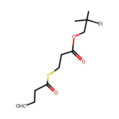 CCC(C)(C)COC(=O)CCSC(=O)CCC=O